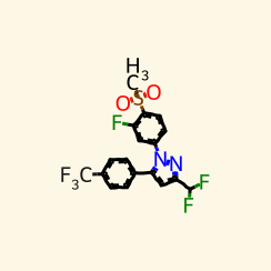 CS(=O)(=O)c1ccc(-n2nc(C(F)F)cc2-c2ccc(C(F)(F)F)cc2)cc1F